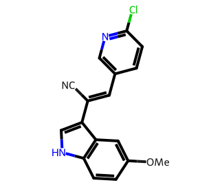 COc1ccc2[nH]cc(C(C#N)=Cc3ccc(Cl)nc3)c2c1